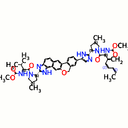 C=C(/C=C\C=C/C)[C@@H](NC(=O)OC)C(=O)N1C[C@@H](C)C[C@H]1c1ncc(-c2ccc3c(c2)COc2cc4c(ccc5nc([C@@H]6C[C@H](C)CN6C(=O)[C@@H](NC(=O)OC)C(C)C)[nH]c54)cc2-3)[nH]1